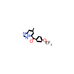 Cc1cc(C(=O)c2ccc(OC(F)(F)F)cc2)n2ncnc2c1